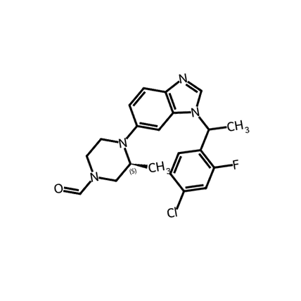 CC(c1ccc(Cl)cc1F)n1cnc2ccc(N3CCN(C=O)C[C@@H]3C)cc21